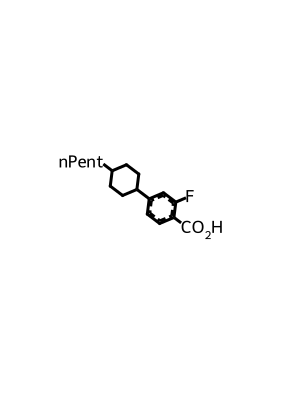 CCCCCC1CCC(c2ccc(C(=O)O)c(F)c2)CC1